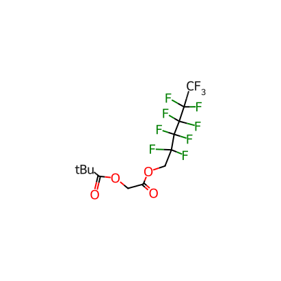 CC(C)(C)C(=O)OCC(=O)OCC(F)(F)C(F)(F)C(F)(F)C(F)(F)C(F)(F)F